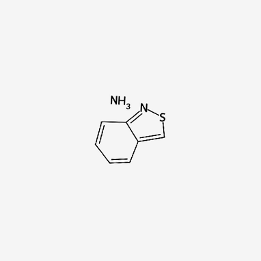 N.c1ccc2nscc2c1